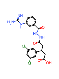 N=C(N)Nc1cccc(C(=O)NNC(=O)CC(CC(=O)O)c2cc(Cl)cc(Cl)c2)c1